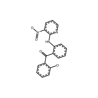 O=C(c1ccccc1Cl)c1ccccc1Nc1ncccc1[N+](=O)[O-]